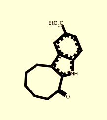 CCOC(=O)c1ccc2[nH]c3c(c2c1)CCCCCC3=O